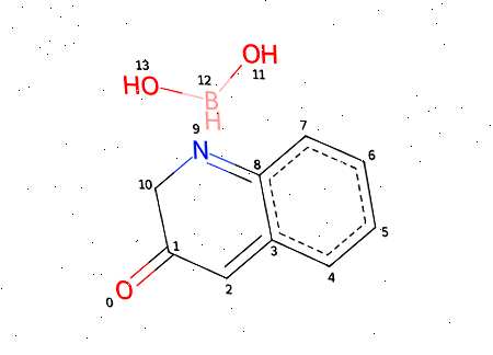 O=C1C=c2ccccc2=NC1.OBO